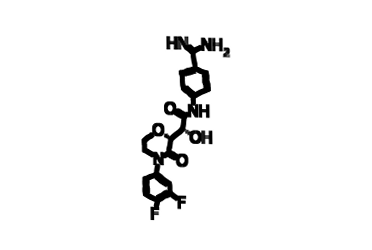 N=C(N)c1ccc(NC(=O)[C@H](O)[C@H]2OCCN(c3ccc(F)c(F)c3)C2=O)cc1